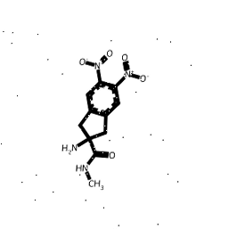 CNC(=O)C1(N)Cc2cc([N+](=O)[O-])c([N+](=O)[O-])cc2C1